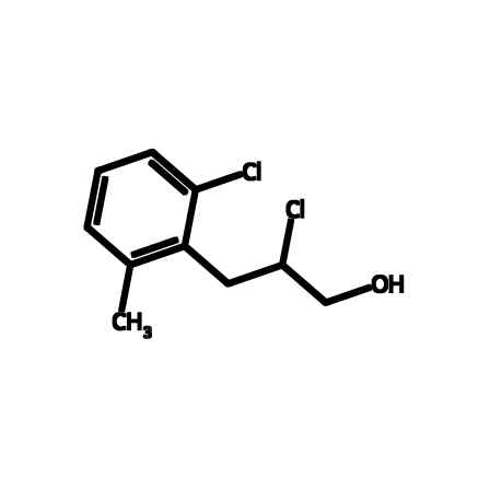 Cc1cccc(Cl)c1CC(Cl)CO